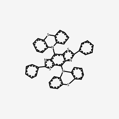 c1ccc(-c2nc3c(N4c5ccccc5Sc5ccccc54)c4sc(-c5ccccc5)nc4c(N4c5ccccc5Sc5ccccc54)c3s2)cc1